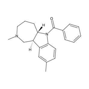 Cc1ccc2c(c1)[C@H]1CN(C)CCC[C@@H]1N2C(=O)c1ccccc1